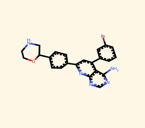 Nc1ncnc2nc(-c3ccc(C4CNCCO4)cc3)cc(-c3cccc(Br)c3)c12